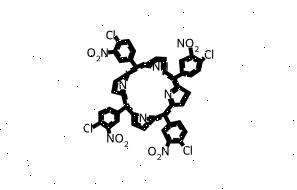 O=[N+]([O-])c1cc(-c2c3nc(c(-c4ccc(Cl)c([N+](=O)[O-])c4)c4ccc([nH]4)c(-c4ccc(Cl)c([N+](=O)[O-])c4)c4nc(c(-c5ccc(Cl)c([N+](=O)[O-])c5)c5ccc2[nH]5)C=C4)C=C3)ccc1Cl